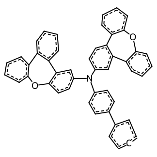 c1ccc(-c2ccc(N(c3ccc4c(c3)-c3ccccc3-c3ccccc3O4)c3ccc4c(c3)-c3ccccc3Oc3ccccc3-4)cc2)cc1